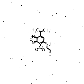 CC(C)c1cc(NCCO)c([N+](=O)[O-])c2nonc12